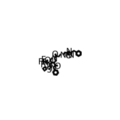 O=C(CCNCc1nc(Cc2ccccc2)no1)N1CCC2=C(C1)C(=O)N(c1ccccc1)C(SC1CCC1)N2OC(=O)C(F)(F)F